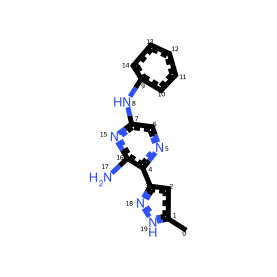 Cc1cc(-c2ncc(Nc3ccccc3)nc2N)n[nH]1